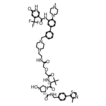 Cc1ncsc1-c1ccc(CNC(=O)[C@@H]2C[C@@H](O)CN2C(=O)[C@@H](NC(=O)COCC(=O)NCCN2CCN(Cc3cccc(-c4ccc(N5CCN(C)CC5)c(NC(=O)c5c[nH]c(=O)cc5C(F)(F)F)c4)c3)CC2)C(C)(C)C)cc1